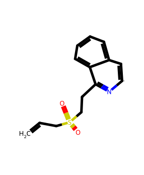 C=CCS(=O)(=O)CCc1n[c]cc2ccccc12